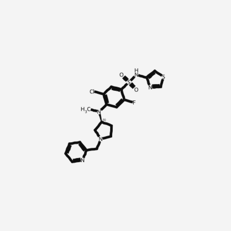 CN(c1cc(F)c(S(=O)(=O)Nc2cscn2)cc1Cl)[C@H]1CCN(Cc2ccccn2)C1